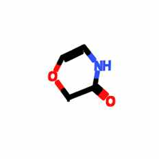 O=C1[CH]OC=CN1